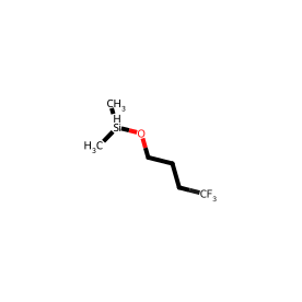 C[SiH](C)OCCCC(F)(F)F